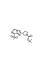 CC(C)(C)OC(=O)N1CCC(c2cn3ccnc(S(C)(=O)=O)c3n2)C1